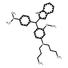 CCCCN(CCCC)c1ccc(C(c2ccc(N(C)C)cc2)c2cc3ccccc3[nH]2)c(OC)c1